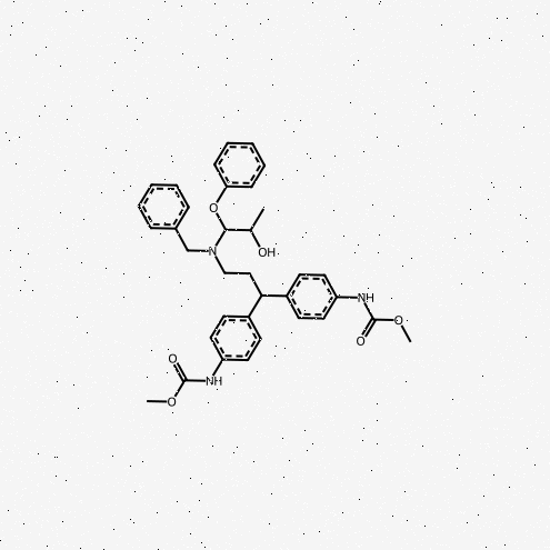 COC(=O)Nc1ccc(C(CCN(Cc2ccccc2)C(Oc2ccccc2)C(C)O)c2ccc(NC(=O)OC)cc2)cc1